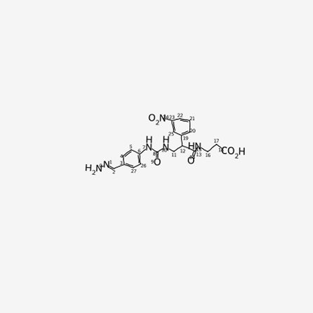 NN=Cc1ccc(NC(=O)NCC(C(=O)NCCC(=O)O)c2cccc([N+](=O)[O-])c2)cc1